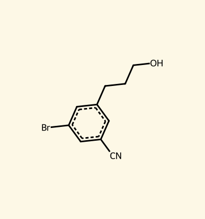 N#Cc1cc(Br)cc(CCCO)c1